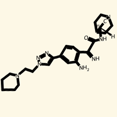 N=C(C(=O)N[C@H]1CN2CCC1CC2)c1ccc(-c2cn(CCN3CCCCC3)nn2)cc1N